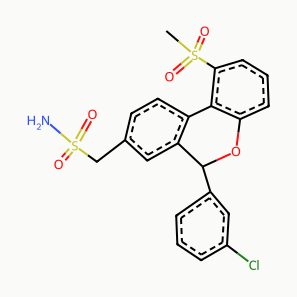 CS(=O)(=O)c1cccc2c1-c1ccc(CS(N)(=O)=O)cc1C(c1cccc(Cl)c1)O2